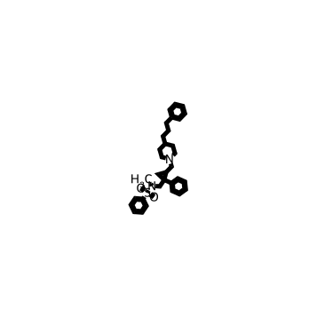 CN(CC1(c2ccccc2)CC1CN1CCC(CCCc2ccccc2)CC1)S(=O)(=O)c1ccccc1